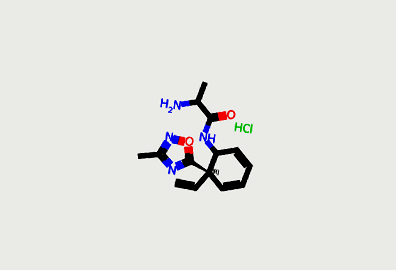 C=C[C@@]1(c2nc(C)no2)C=CC=CC1NC(=O)C(C)N.Cl